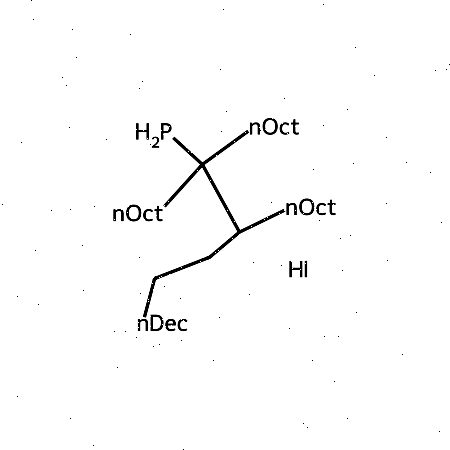 CCCCCCCCCCCCC(CCCCCCCC)C(P)(CCCCCCCC)CCCCCCCC.I